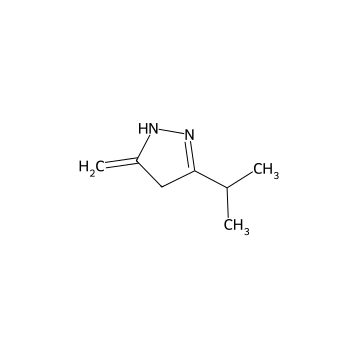 C=C1CC(C(C)C)=NN1